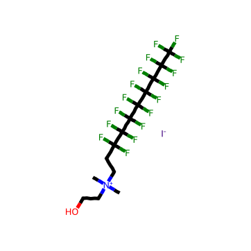 C[N+](C)(CCO)CCC(F)(F)C(F)(F)C(F)(F)C(F)(F)C(F)(F)C(F)(F)C(F)(F)C(F)(F)F.[I-]